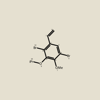 C=Cc1cc(Br)c(OC)c(OC(C)C)c1Br